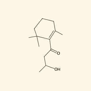 CC1=C(C(=O)CC(C)O)C(C)(C)CCC1